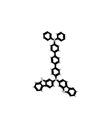 c1ccc(N(c2ccccc2)c2ccc(-c3ccc(-c4ccc(N(c5ccc6c(c5)oc5ccccc56)c5ccc6c(c5)oc5ccccc56)cc4)cc3)cc2)cc1